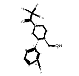 O=C(N1CC[C@@H](CO)[C@H](c2cccc(F)c2)C1)C(F)(F)F